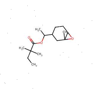 CCC(C)(C)C(=O)OC(C)C1CCC2OC2(C)C1